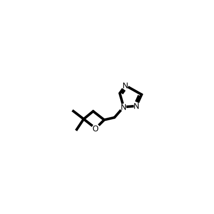 CC1(C)CC(Cn2cncn2)O1